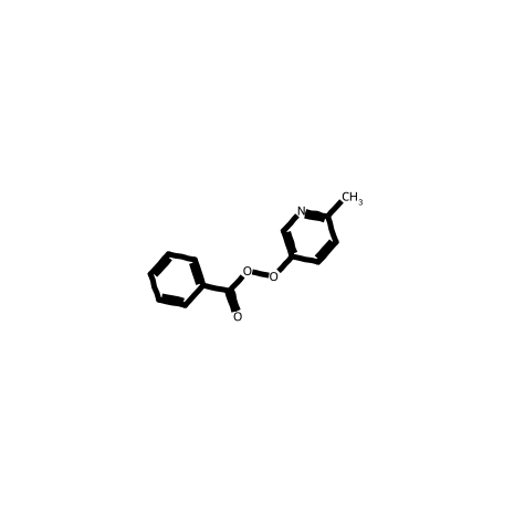 Cc1ccc(OOC(=O)c2ccccc2)cn1